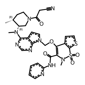 C[C@@H]1CCN(C(=O)CC#N)C[C@@H]1N(C)c1ncnc2c1ccn2COC1=C(C(=O)Nc2ccccn2)N(C)S(=O)(=O)c2sccc21